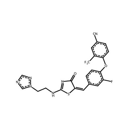 N#Cc1ccc(Oc2ccc(C=C3SC(NCCn4cncn4)=NC3=O)cc2F)c(C(F)(F)F)c1